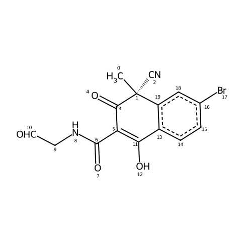 C[C@]1(C#N)C(=O)C(C(=O)NCC=O)=C(O)c2ccc(Br)cc21